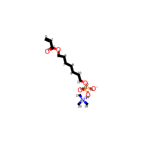 C=CC(=O)OCCCCCCCOP(=O)([O-])O[N+](C)(C)C